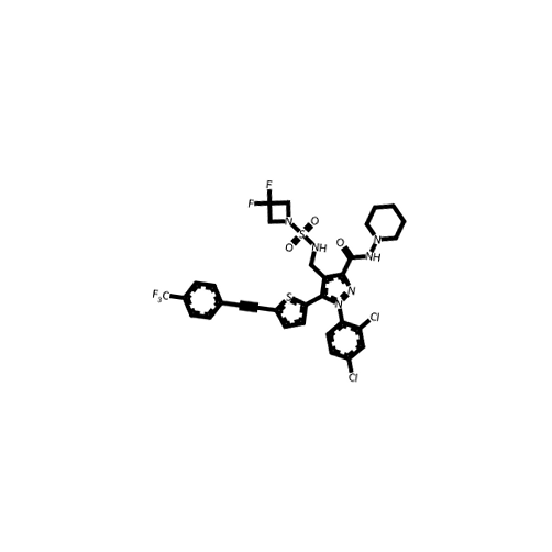 O=C(NN1CCCCC1)c1nn(-c2ccc(Cl)cc2Cl)c(-c2ccc(C#Cc3ccc(C(F)(F)F)cc3)s2)c1CNS(=O)(=O)N1CC(F)(F)C1